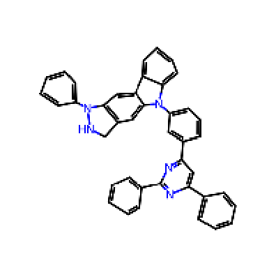 c1ccc(-c2cc(-c3cccc(-n4c5ccccc5c5cc6c(cc54)CNN6c4ccccc4)c3)nc(-c3ccccc3)n2)cc1